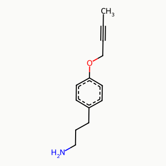 CC#CCOc1ccc(CCCN)cc1